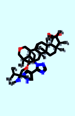 CN[C@@](C)(CO[C@H]1[C@H](n2ncnc2-c2cn[nH]c2)C[C@@]23COC[C@]1(C)[C@@H]2CC[C@H]1C3=CC[C@@]2(C)[C@H](C(=O)O)[C@@](C)([C@H](C)C(C)C)CC[C@]12C)C(C)C